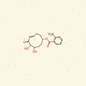 O=C(OC1CC/C=C/C(=O)C(O)C(O)CC1)c1ccccc1[N+](=O)[O-]